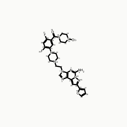 Nc1nc2c(ncn2CCN2CCN(c3cc(C(=O)N4CC[S+]([O-])CC4)c(F)cc3F)CC2)c2cc(-c3ccco3)nn12